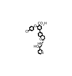 O=C(O)c1ccc(-c2ccc3c(c2)CC[C@H](CNC[C@@H](O)c2cccnc2)O3)cc1Oc1ccc(Cl)cc1